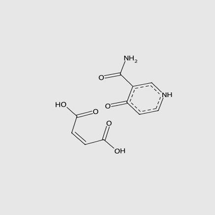 NC(=O)c1c[nH]ccc1=O.O=C(O)/C=C\C(=O)O